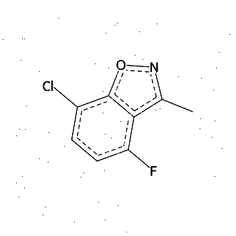 Cc1noc2c(Cl)ccc(F)c12